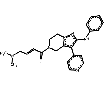 CN(C)C/C=C/C(=O)N1CCn2nc(Nc3ccccc3)c(-c3ccncc3)c2C1